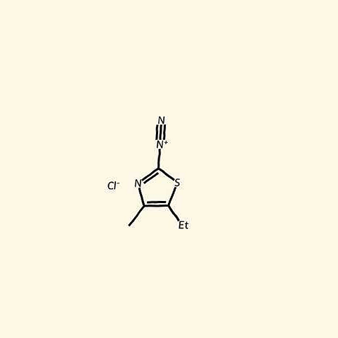 CCc1sc([N+]#N)nc1C.[Cl-]